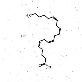 CCCCC/C=C\C/C=C\C/C=C\C/C=C\CCCC(=O)O.Cl